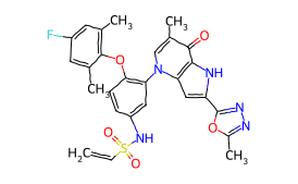 C=CS(=O)(=O)Nc1ccc(Oc2c(C)cc(F)cc2C)c(-n2cc(C)c(=O)c3[nH]c(-c4nnc(C)o4)cc32)c1